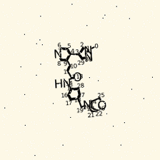 Cn1cc(-c2ccncc2C=CC(=O)Nc2ccc(CN3CC4CC3CO4)cc2)cn1